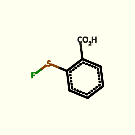 O=C(O)c1ccccc1SF